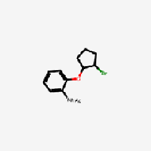 CC(=O)Nc1ccccc1OC1CCCC1Br